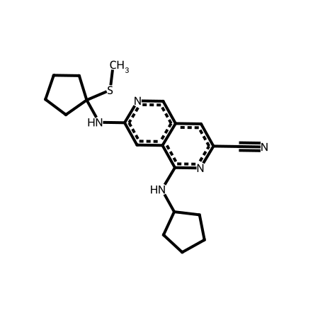 CSC1(Nc2cc3c(NC4CCCC4)nc(C#N)cc3cn2)CCCC1